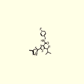 Cc1cnc(-c2nc(C(=O)NCC3=CCC(F)C=C3)c(C(F)C(C)C)s2)s1